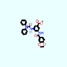 COC(=O)c1cc(NC(=O)c2ccc3c(c2)OCCO3)cc(NC(=O)N(c2ccccc2)c2ccccc2)c1